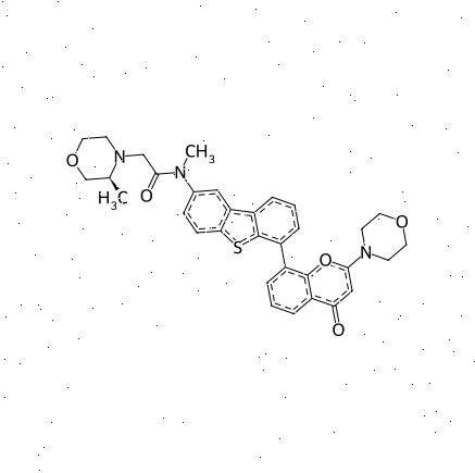 C[C@H]1COCCN1CC(=O)N(C)c1ccc2sc3c(-c4cccc5c(=O)cc(N6CCOCC6)oc45)cccc3c2c1